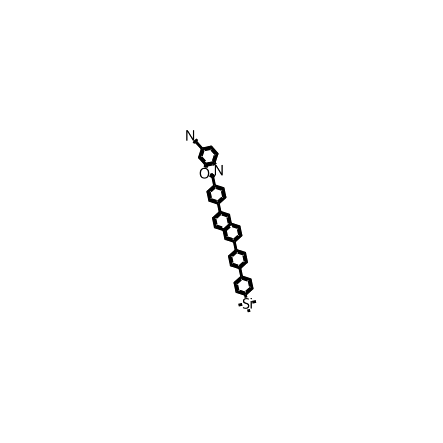 C[Si](C)(C)c1ccc(-c2ccc(-c3ccc4cc(-c5ccc(-c6nc7ccc(C#N)cc7o6)cc5)ccc4c3)cc2)cc1